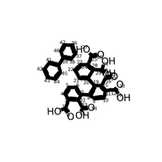 O=C(O)c1cccc(-c2ccc(C(=O)O)c(C(=O)O)c2-c2cccc(C(=O)O)c2C(=O)O)c1C(=O)O.c1ccc(-c2ccccc2)cc1